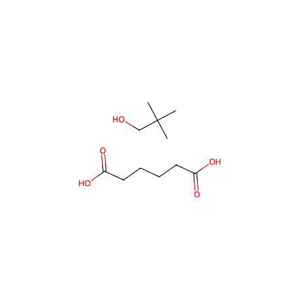 CC(C)(C)CO.O=C(O)CCCCC(=O)O